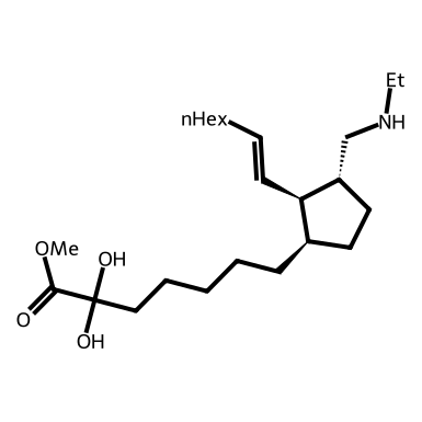 CCCCCCC=C[C@@H]1[C@H](CCCCCC(O)(O)C(=O)OC)CC[C@H]1CNCC